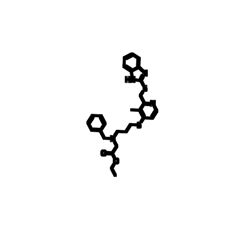 CCOC(=O)CN(CCCSc1ccnc(CSc2nc3ccccc3[nH]2)c1C)Cc1ccccc1